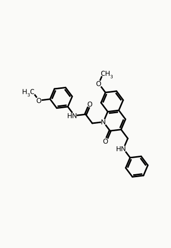 COc1cccc(NC(=O)Cn2c(=O)c(CNc3ccccc3)cc3ccc(OC)cc32)c1